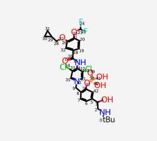 CC(C)(C)NCC(O)c1ccc(C[n+]2cc(Cl)c(NC(=O)c3ccc(OC(F)F)c(OCC4CC4)c3)c(Cl)c2)c(OP(=O)(O)O)c1